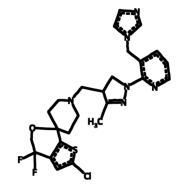 CC1=NN(c2ncccc2Cn2ccnc2)CC1CN1CCC2(CC1)OCC(F)(F)c1cc(Cl)sc12